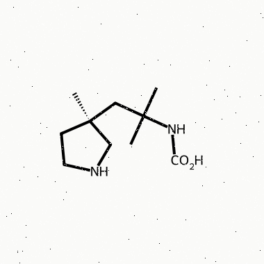 CC(C)(C[C@]1(C)CCNC1)NC(=O)O